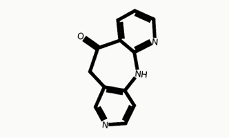 O=C1Cc2cnccc2Nc2ncccc21